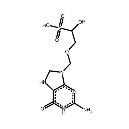 Nc1nc2c(c(=O)[nH]1)NCN2COCC(O)S(=O)(=O)O